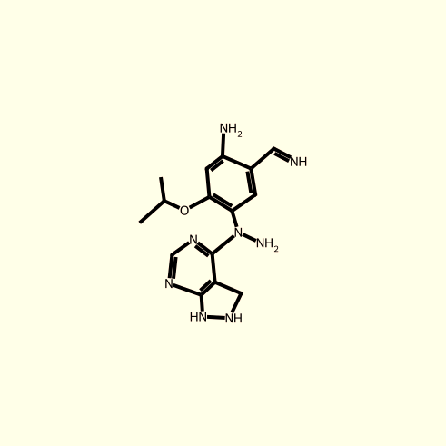 CC(C)Oc1cc(N)c(C=N)cc1N(N)c1ncnc2c1CNN2